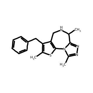 Cc1sc2c(c1Cc1ccccc1)CNC(C)c1nnc(C)n1-2